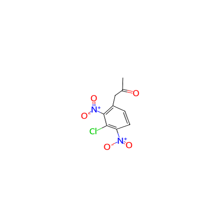 CC(=O)Cc1ccc([N+](=O)[O-])c(Cl)c1[N+](=O)[O-]